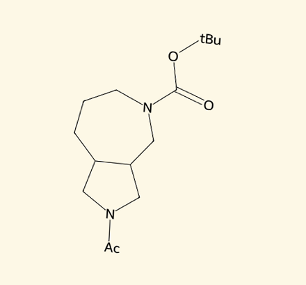 CC(=O)N1CC2CCCN(C(=O)OC(C)(C)C)CC2C1